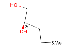 CSCC[C@@H](O)CO